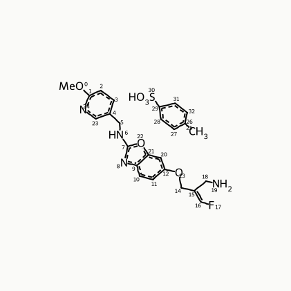 COc1ccc(CNc2nc3ccc(OCC(=CF)CN)cc3o2)cn1.Cc1ccc(S(=O)(=O)O)cc1